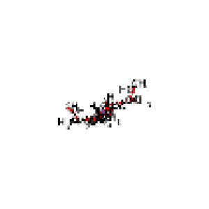 CCCCC(O)CCCCC(=O)OC(CCCC)CCCCC(=O)OCCOCCNc1nc(Nc2ccccc2)c(/N=N/c2cc(OC)c(S(=O)(=O)CCN(CCOC(=O)CCCCC(CCCC)OC(=O)CCCCC(O)CCCC)C(C)(C)C)cc2OC)c(C)c1C#N